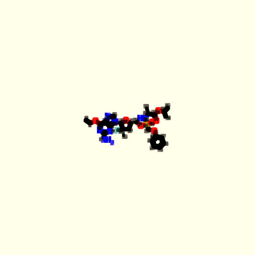 CCOc1nc(N)nc2c1ncn2[C@@H]1O[C@H](COP(=O)(COc2ccccc2)N[C@@H](C)C(=O)OC(C)C)C[C@@]1(C)F